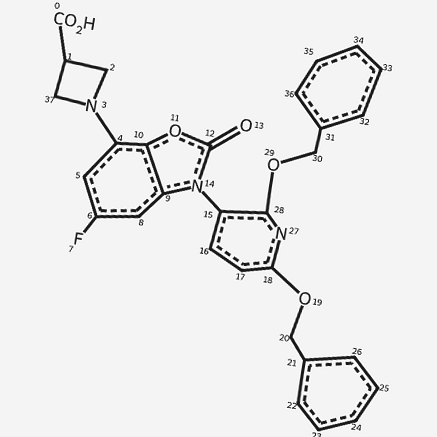 O=C(O)C1CN(c2cc(F)cc3c2oc(=O)n3-c2ccc(OCc3ccccc3)nc2OCc2ccccc2)C1